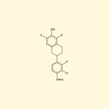 CCCCCCc1ccc(C2CCc3c(cc(F)c(O)c3F)C2)c(F)c1F